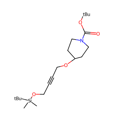 CC(C)(C)OC(=O)N1CCC(OCC#CCO[Si](C)(C)C(C)(C)C)CC1